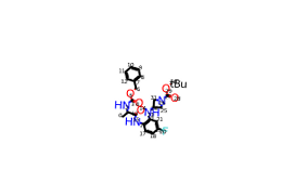 CC(NC(=O)OCc1ccccc1)C(=O)Nc1ccc(F)cc1NC1CN(C(=O)OC(C)(C)C)C1